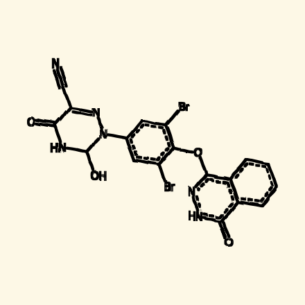 N#CC1=NN(c2cc(Br)c(Oc3n[nH]c(=O)c4ccccc34)c(Br)c2)C(O)NC1=O